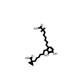 CC(C)(CCCCCCc1ccc(O)c(O)c1CCCCCCC1(C(=O)O)CC1)C(=O)O